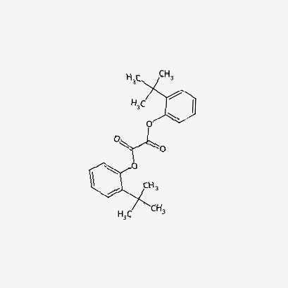 CC(C)(C)c1ccccc1OC(=O)C(=O)Oc1ccccc1C(C)(C)C